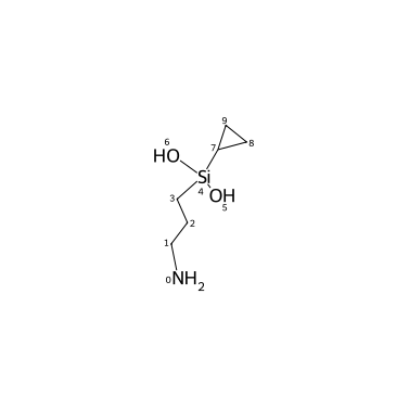 NCCC[Si](O)(O)C1CC1